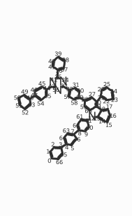 c1ccc(-c2ccc(-c3ccc(-n4c5ccccc5c5c(-c6ccccc6)cc(-c6ccc(-c7nc(-c8ccccc8)nc(-c8ccc(-c9ccccc9)cc8)n7)cc6)cc54)cc3)cc2)cc1